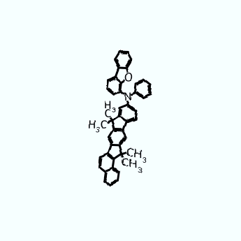 CC1(C)c2cc(N(c3ccccc3)c3cccc4c3oc3ccccc34)ccc2-c2cc3c(cc21)-c1ccc2ccccc2c1C3(C)C